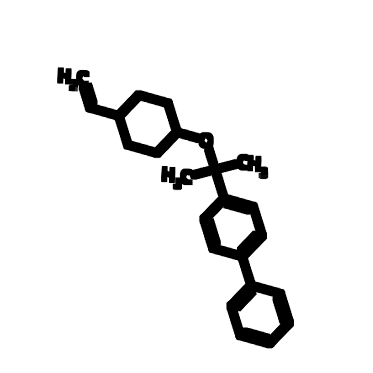 C=CC1CCC(OC(C)(C)c2ccc(-c3ccccc3)cc2)CC1